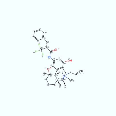 C=CC[N+]1(C)CC[C@]23c4c5c(O)cc(NC(=O)C(=Cc6ccccc6)C(F)(F)F)c4O[C@H]2CCC[C@H]3[C@H]1C5